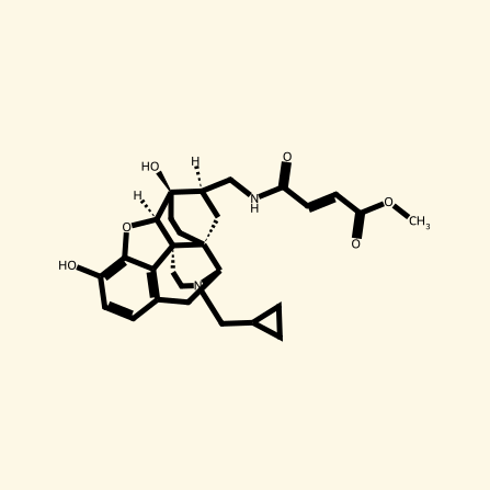 COC(=O)/C=C/C(=O)NC[C@H]1C[C@@]23CC[C@]1(O)[C@@H]1Oc4c(O)ccc5c4[C@@]12CCN(CC1CC1)C3C5